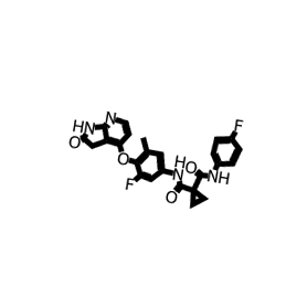 Cc1cc(NC(=O)C2(C(=O)Nc3ccc(F)cc3)CC2)cc(F)c1Oc1ccnc2c1CC(=O)N2